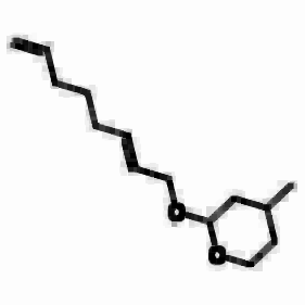 C=CCCCC=CCOC1CC(C)CCO1